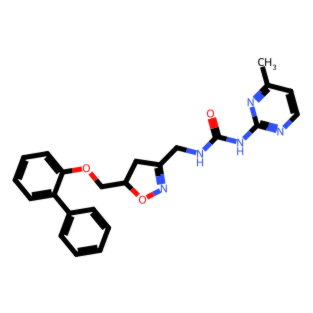 Cc1ccnc(NC(=O)NCC2=NOC(COc3ccccc3-c3ccccc3)C2)n1